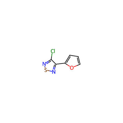 Clc1nsnc1-c1ccco1